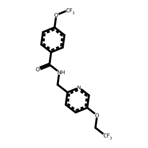 O=C(NCc1ccc(OCC(F)(F)F)cn1)c1ccc(OC(F)(F)F)cc1